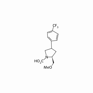 COC[C@@H]1CC(c2ccc(C(F)(F)F)cc2)CN1C(=O)O